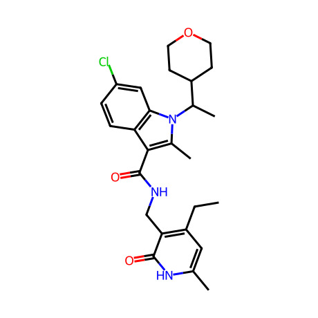 CCc1cc(C)[nH]c(=O)c1CNC(=O)c1c(C)n(C(C)C2CCOCC2)c2cc(Cl)ccc12